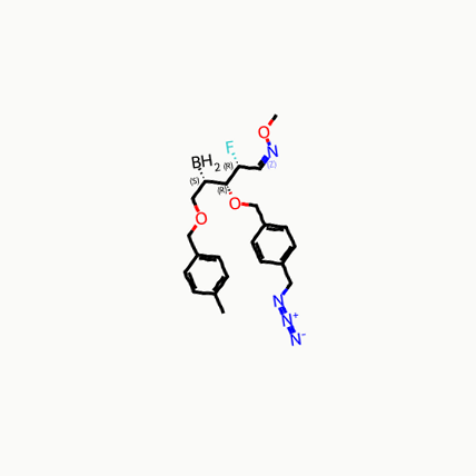 B[C@@H](COCc1ccc(C)cc1)[C@@H](OCc1ccc(CN=[N+]=[N-])cc1)[C@H](F)/C=N\OC